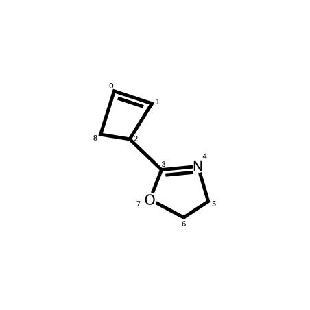 C1=CC(C2=NCCO2)C1